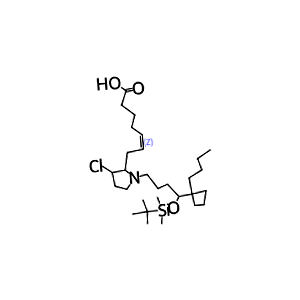 CCCCC1(C(CCCN2CCC(Cl)C2C/C=C\CCCC(=O)O)O[Si](C)(C)C(C)(C)C)CCC1